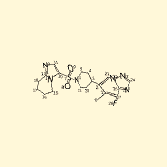 Cc1c(C2CCN(S(=O)(=O)c3cnc4n3CCCC4)CC2)cn2ncnc2c1F